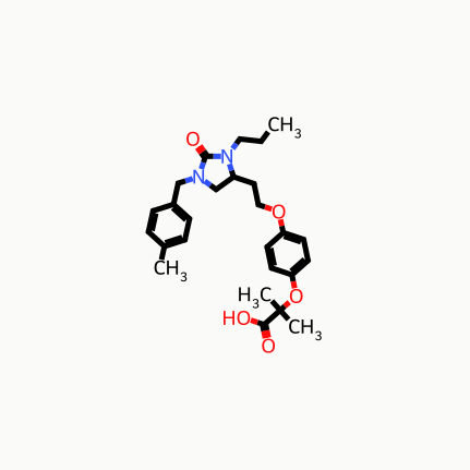 CCCN1C(=O)N(Cc2ccc(C)cc2)CC1CCOc1ccc(OC(C)(C)C(=O)O)cc1